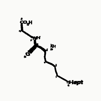 CCCCCCCCCCCC(=O)NCC(=O)O.[KH]